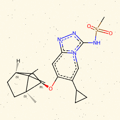 CC1(C)[C@H]2CC[C@]1(C)[C@H](Oc1cc3nnc(NS(C)(=O)=O)n3cc1C1CC1)C2